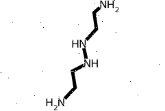 NCCNNCCN